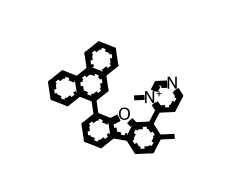 Cc1ccc2c(oc3c(-c4cc5ccccc5c5ccccc45)cccc32)c1-c1ccnc[n+]1C